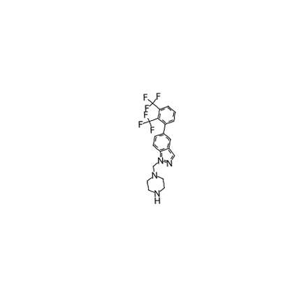 FC(F)(F)c1cccc(-c2ccc3c(cnn3CN3CCNCC3)c2)c1C(F)(F)F